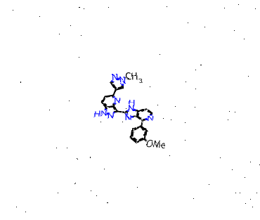 COc1cccc(-c2nccc3[nH]c(-c4n[nH]c5ccc(-c6cnn(C)c6)nc45)nc23)c1